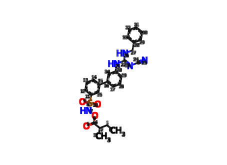 CCC(C)C(=O)ONS(=O)(=O)c1cccc(-c2cccc(NC(=NC#N)NCc3ccccc3)c2)c1